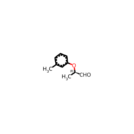 Cc1cccc(O[C@H](C)C=O)c1